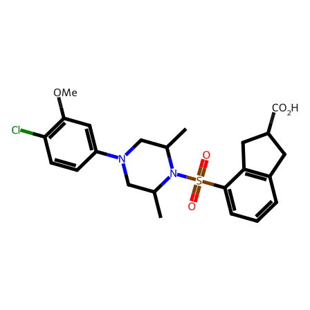 COc1cc(N2CC(C)N(S(=O)(=O)c3cccc4c3CC(C(=O)O)C4)C(C)C2)ccc1Cl